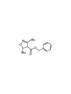 CC(C)(C)C1=NOC(C(C)(C)C)C1C(=O)OCc1ccccc1